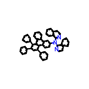 c1ccc(-c2cc(-c3ccccc3)c3c4ccc(N(c5nccc6ccccc56)c5nccc6ccccc56)cc4c4ccccc4c3c2-c2ccccc2)cc1